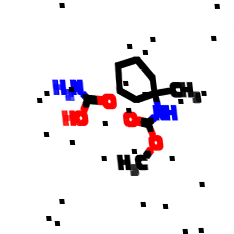 COC(=O)NC1(C)CCCCC1.NC(=O)O